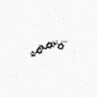 O=CC1CCCC[C@H]1Nc1nc2ccc(Cc3cnc4cc(-n5ccnc5)ccn34)cc2s1